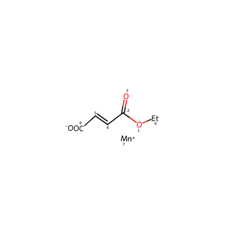 CCOC(=O)/C=C/C(=O)[O-].[Mn+]